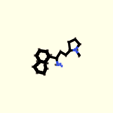 CN1CCCC1CCC(N)c1cccc2ccccc12